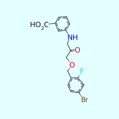 O=C(CNc1cccc(C(=O)O)c1)COCc1ccc(Br)cc1F